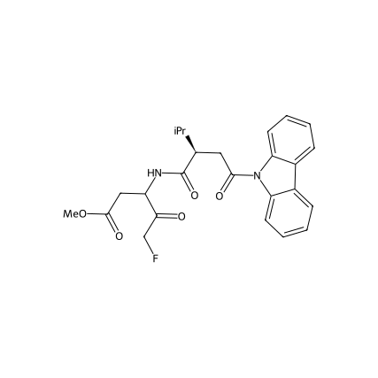 COC(=O)CC(NC(=O)[C@H](CC(=O)n1c2ccccc2c2ccccc21)C(C)C)C(=O)CF